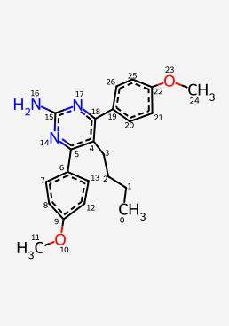 CCCCc1c(-c2ccc(OC)cc2)nc(N)nc1-c1ccc(OC)cc1